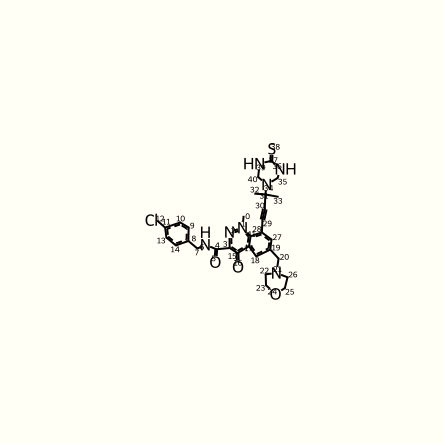 Cn1nc(C(=O)NCc2ccc(Cl)cc2)c(=O)c2cc(CN3CCOCC3)cc(C#CC(C)(C)N3CNC(=S)NC3)c21